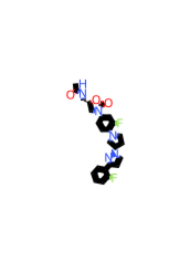 CC(=O)NC[C@H]1CN(c2ccc(N3CC[C@@H](n4ccc(-c5ccccc5F)n4)C3)c(F)c2)C(=O)O1